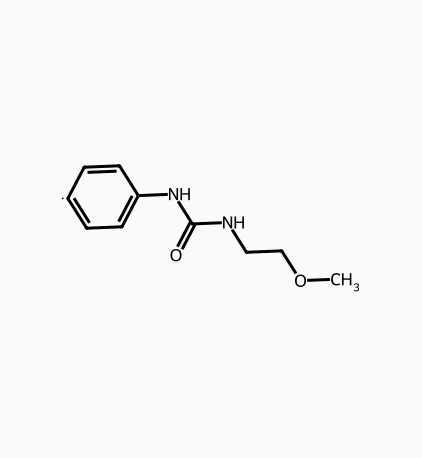 COCCNC(=O)Nc1cc[c]cc1